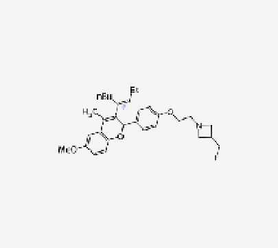 CC/C=C(\CCCC)C1=C(C)c2cc(OC)ccc2OC1c1ccc(OCCN2CC(CF)C2)cc1